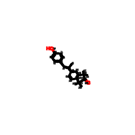 CC(=Cc1ccc(O)cc1)c1ccc2c(c1)C(C)(C)C(=O)C2(C)C